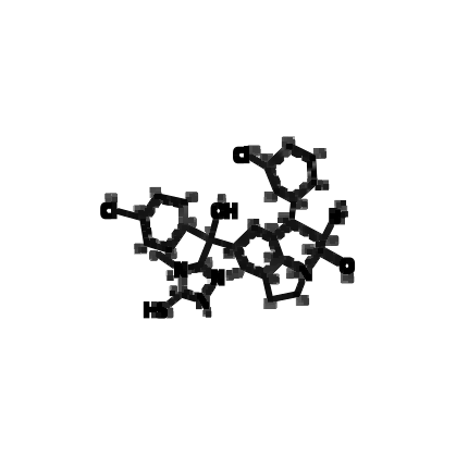 Cn1c(S)nnc1C(O)(c1ccc(Cl)cc1)c1cc2c3c(c1)c(-c1cccc(Cl)c1)c(Br)c(=O)n3CC2